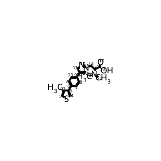 Cc1cscc1-c1ccc(-c2cnn(CC(C(=O)O)N(C)C)c2)cc1